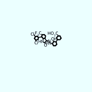 O=C1Nc2c(ccc(C(F)(F)F)c2-c2cc(Cl)cc(Cl)c2)C1=NNc1cccc(-c2cccc(C(=O)O)c2)c1O